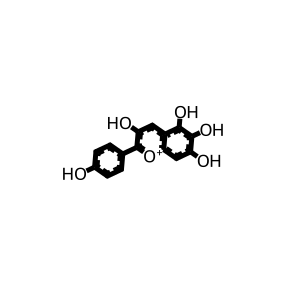 Oc1ccc(-c2[o+]c3cc(O)c(O)c(O)c3cc2O)cc1